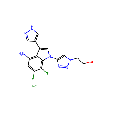 Cl.Nc1cc(Cl)c(F)c2c1c(-c1cn[nH]c1)cn2-c1cn(CCO)nn1